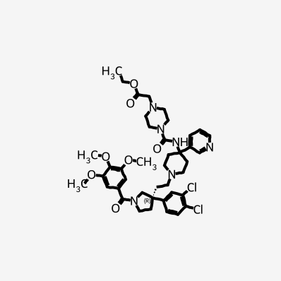 CCOC(=O)CN1CCN(C(=O)NC2(c3cccnc3)CCN(CC[C@]3(c4ccc(Cl)c(Cl)c4)CCN(C(=O)c4cc(OC)c(OC)c(OC)c4)C3)CC2)CC1